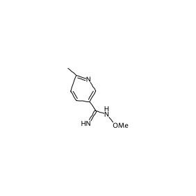 CONC(=N)c1ccc(C)nc1